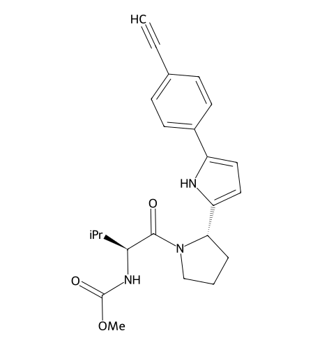 C#Cc1ccc(-c2ccc([C@@H]3CCCN3C(=O)[C@@H](NC(=O)OC)C(C)C)[nH]2)cc1